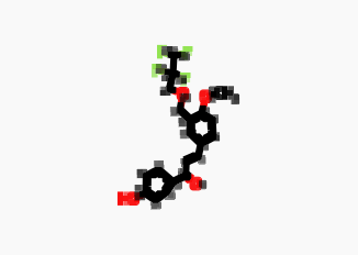 COc1ccc(/C=C/C(=O)c2ccc(O)cc2)cc1COCC(F)(F)C(F)F